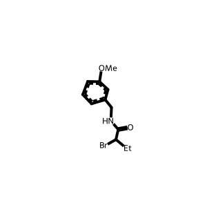 CCC(Br)C(=O)NCc1cccc(OC)c1